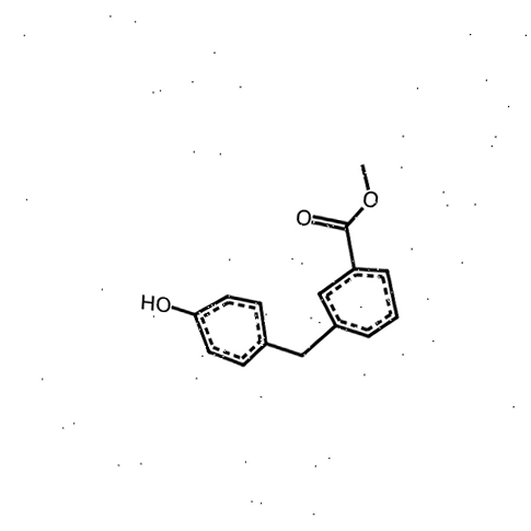 COC(=O)c1cccc(Cc2ccc(O)cc2)c1